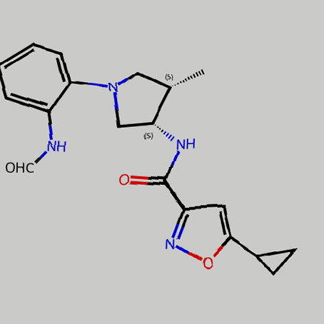 C[C@H]1CN(c2ccccc2NC=O)C[C@H]1NC(=O)c1cc(C2CC2)on1